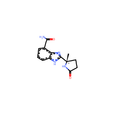 C[C@@]1(c2nc3c(C(N)=O)cccc3[nH]2)CCC(=O)N1